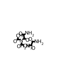 CC(=O)N(C(C)=O)C(=O)C(N)=O.NC(=O)C(N)=O